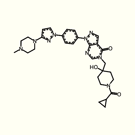 CN1CCN(c2ccn(-c3ccc(-n4ncc5c(=O)n(CC6(O)CCN(C(=O)C7CC7)CC6)cnc54)cc3)n2)CC1